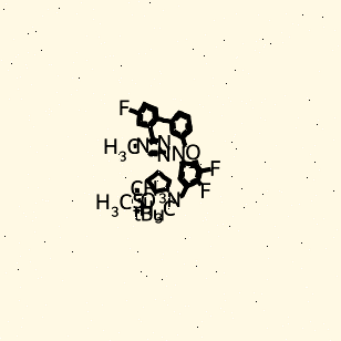 CN(Cc1cc2nc(-c3cccc(-c4ccc(F)cc4-c4nncn4C)c3)oc2c(F)c1F)[C@@H]1CCC[C@@H]1O[Si](C)(C)C(C)(C)C